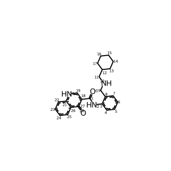 O=C(Nc1ccccc1CNCC1CCCCC1)c1c[nH]c2ccccc2c1=O